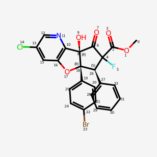 COC(=O)C1(F)C(=O)[C@@]2(O)c3ncc(Cl)cc3O[C@@]2(c2ccc(Br)cc2)[C@@H]1c1ccccc1